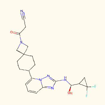 N#CCC(=O)N1CC2(CCC(c3cccc4nc(N[C@H](O)C5CC5(F)F)nn34)CC2)C1